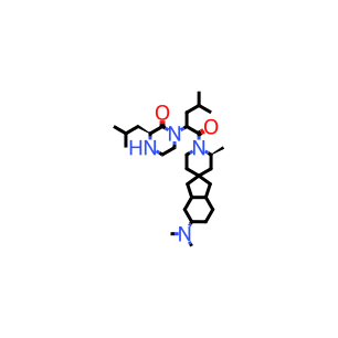 CC(C)CC(C(=O)N1CCC2(CC3CCC(N(C)C)CC3C2)C[C@@H]1C)N1CCN[C@@H](CC(C)C)C1=O